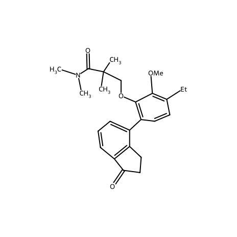 CCc1ccc(-c2cccc3c2CCC3=O)c(OCC(C)(C)C(=O)N(C)C)c1OC